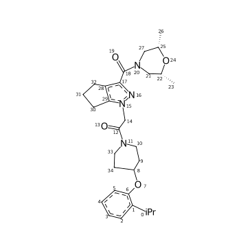 CC(C)c1ccccc1OC1CCN(C(=O)Cn2nc(C(=O)N3C[C@@H](C)O[C@@H](C)C3)c3c2CCC3)CC1